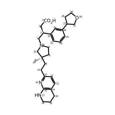 O=C(O)C[C@H](CN1CC[C@@](F)(CCc2ccc3c(n2)NCCC3)C1)c1cccc(C2CCOC2)c1